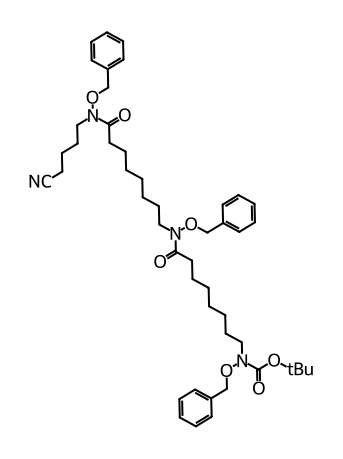 CC(C)(C)OC(=O)N(CCCCCCCC(=O)N(CCCCCCCC(=O)N(CCCCC#N)OCc1ccccc1)OCc1ccccc1)OCc1ccccc1